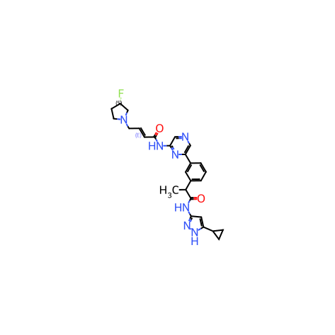 CC(C(=O)Nc1cc(C2CC2)[nH]n1)c1cccc(-c2cncc(NC(=O)/C=C/CN3CC[C@H](F)C3)n2)c1